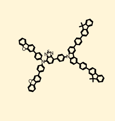 CC1(C)c2ccccc2-c2ccc(-c3ccc(-c4ccc5c(c4)c4cc(-c6ccc(-c7ccc8c(c7)C(C)(C)c7ccccc7-8)cc6)ccc4n5-c4ccc(-c5ccc(N(c6ccc(-c7ccc8c(c7)oc7ccccc78)cc6)c6ccc(-c7ccc8c(c7)oc7ccccc78)cc6)c6nsnc56)cc4)cc3)cc21